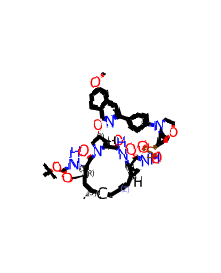 COc1ccc2c(O[C@@H]3C[C@H]4C(=O)N[C@]5(C(=O)NS(=O)(=O)C6CC6)C[C@H]5/C=C\CC[C@H](C)C[C@@H](C)[C@H](NC(=O)OC(C)(C)C)C(=O)N4C3)nc(-c3ccc(N4CCOCC4)cc3)cc2c1